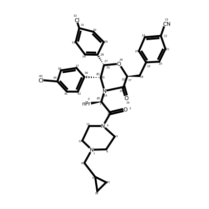 CCC[C@H](C(=O)N1CCN(CC2CC2)CC1)N1C(=O)[C@H](Cc2ccc(C#N)cc2)O[C@@H](c2ccc(Cl)cc2)[C@H]1c1ccc(Cl)cc1